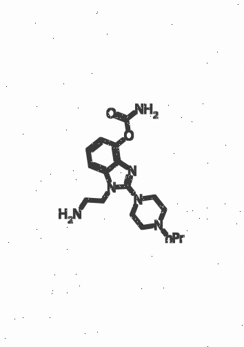 CCCN1CCN(c2nc3c(OC(N)=O)cccc3n2CCN)CC1